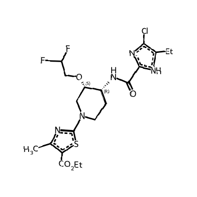 CCOC(=O)c1sc(N2CC[C@@H](NC(=O)c3nc(Cl)c(CC)[nH]3)[C@@H](OCC(F)F)C2)nc1C